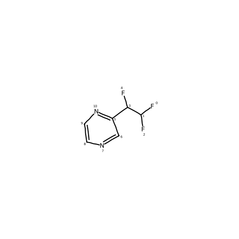 FC(F)C(F)c1cnccn1